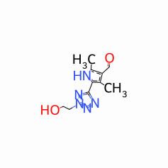 Cc1[nH]c(-c2nnn(CCO)n2)c(C)c1C=O